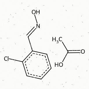 CC(=O)O.ON=Cc1ccccc1Cl